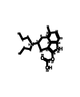 CCCN(CCC)C1Cc2c(C)ccc3[nH]c(OC(=O)O)c(c23)C1